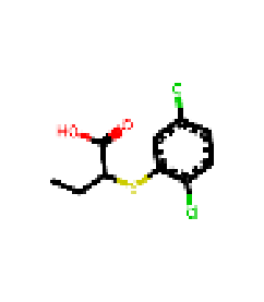 CCC(Sc1cc(Cl)ccc1Cl)C(=O)O